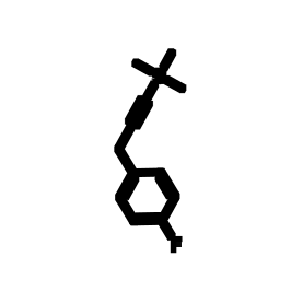 C[Si](C)(C)C#CCc1ccc(F)cc1